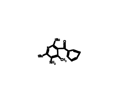 Cc1c(N)c(C(C)(C)C)nc(C(C)(C)C)c1C(=O)c1ccccc1